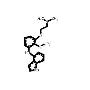 COc1c(Nc2cccc3[nH]ccc23)cccc1OCCN(C)C